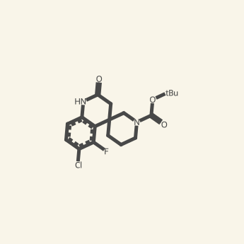 CC(C)(C)OC(=O)N1CCCC2(CC(=O)Nc3ccc(Cl)c(F)c32)C1